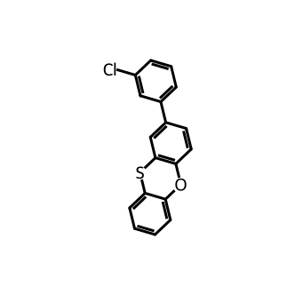 Clc1cccc(-c2ccc3c(c2)Sc2ccccc2O3)c1